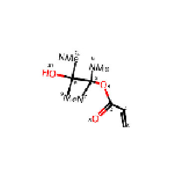 C=CC(=O)OC(NC)(NC)C(C)(O)NC